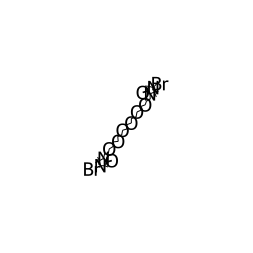 CC1(C)C(=O)N(CCOCCOCCOCCOCCOCCOCCN2C(=O)C(C)(C)N(Br)C2(C)C)C(C)(C)N1Br